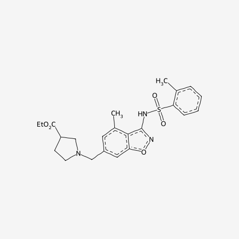 CCOC(=O)C1CCN(Cc2cc(C)c3c(NS(=O)(=O)c4ccccc4C)noc3c2)C1